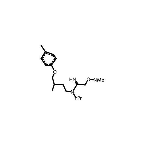 CCCN(CCC(C)COc1ccc(C)cc1)C(=N)CONC